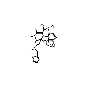 CC1=C(C(=O)OC(C)C)C(c2cccc3c2OCO3)C(CCN(C)Cc2cccs2)(C(=O)O)C(C)N1